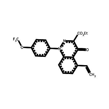 C=Cc1cccc2c1c(=O)c(C(=O)OCC)nn2-c1ccc(OC(F)(F)F)cc1